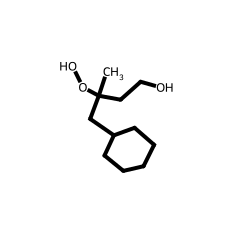 CC(CCO)(CC1CCCCC1)OO